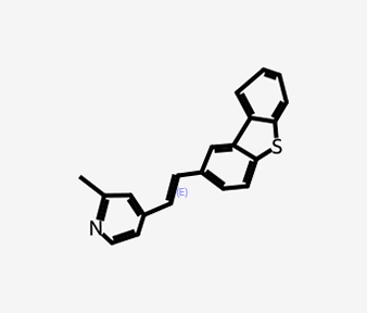 Cc1cc(/C=C/c2ccc3sc4ccccc4c3c2)ccn1